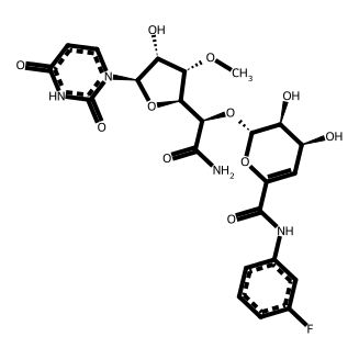 CO[C@H]1[C@@H](O)[C@H](n2ccc(=O)[nH]c2=O)O[C@@H]1[C@@H](O[C@H]1OC(C(=O)Nc2cccc(F)c2)=C[C@H](O)[C@@H]1O)C(N)=O